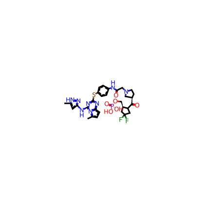 Cc1cc(Nc2nc(Sc3ccc(NC(=O)CN4CC[C@@H](C(=O)C5CC(F)(F)C[C@H]5COP(=O)(O)O)C4)cc3)nc3ccc(C)n23)n[nH]1